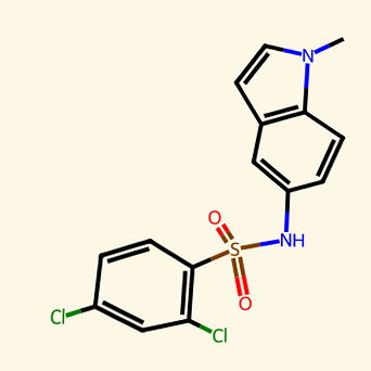 Cn1ccc2cc(NS(=O)(=O)c3ccc(Cl)cc3Cl)ccc21